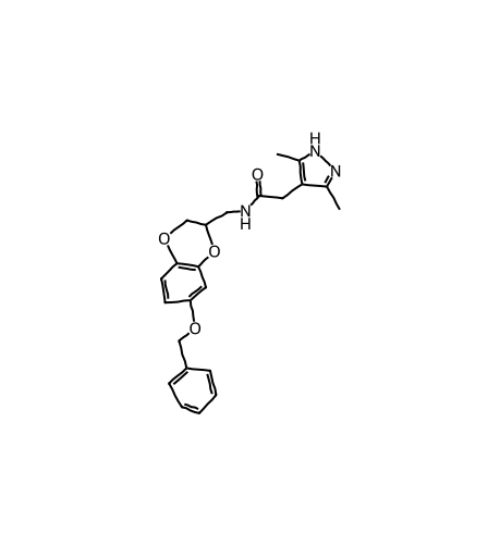 Cc1n[nH]c(C)c1CC(=O)NCC1COc2ccc(OCc3ccccc3)cc2O1